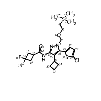 C[Si](C)(C)CCOCn1nc(NC(=O)C2CC(F)(F)C2)c(C2CCC2)c1-c1ccc(Cl)s1